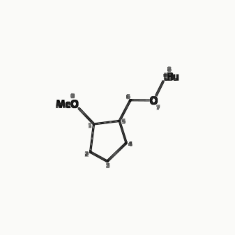 COC1CCCC1COC(C)(C)C